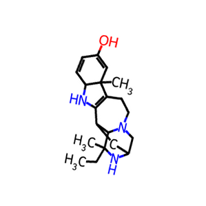 CCC1(C)NC2CC3C4=C(CCN(C2)C31)C1(C)C=C(O)C=CC1N4